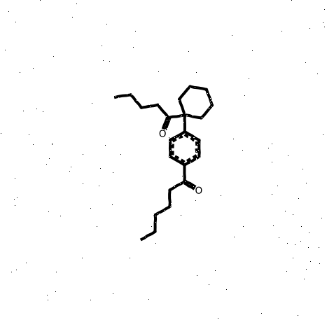 CCCCCC(=O)c1ccc(C2(C(=O)CCCC)CCCCC2)cc1